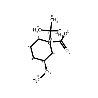 CO[C@H]1CCC[N+](C(=O)[O-])(C(C)(C)C)C1